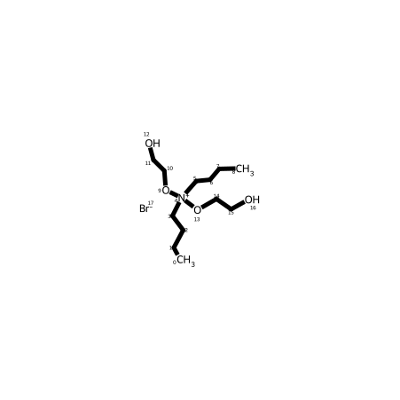 CCCC[N+](CCCC)(OCCO)OCCO.[Br-]